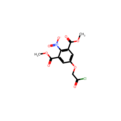 COC(=O)c1cc(OCC(=O)Cl)cc(C(=O)OC)c1[N+](=O)[O-]